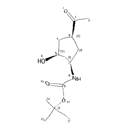 CC(=O)[C@@H]1C[C@H](O)[C@H](NC(=O)OC(C)(C)C)C1